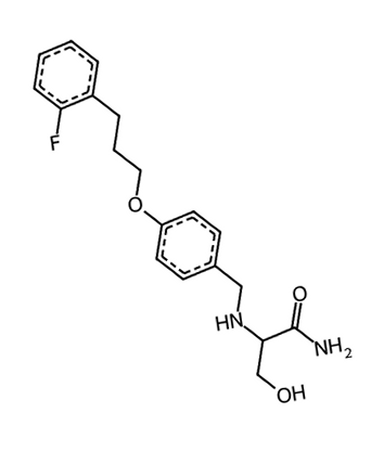 NC(=O)C(CO)NCc1ccc(OCCCc2ccccc2F)cc1